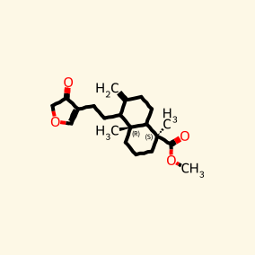 C=C1CCC2[C@](C)(CCC[C@]2(C)C(=O)OC)C1CCC1=COCC1=O